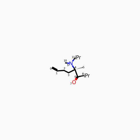 C=CCC[C@](C)(C(=O)C(C)C)N(C)C(C)C